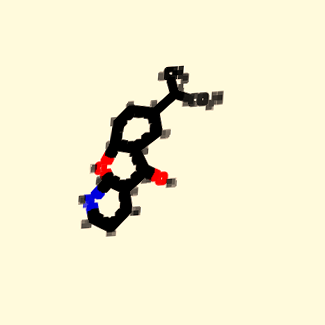 CC(C(=O)O)c1ccc2oc3ncccc3c(=O)c2c1